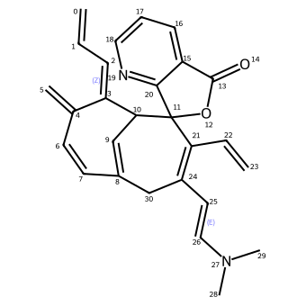 C=C/C=C1\C(=C)C=CC2=CC1C1(OC(=O)c3cccnc31)C(C=C)=C(/C=C/N(C)C)C2